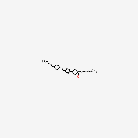 CCCCCCCC1(C=O)CCC(c2ccc(CC[C@H]3CC[C@H](CCCCC)CC3)cc2)CC1